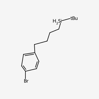 CC(C)(C)[SiH2]CCCCc1ccc(Br)cc1